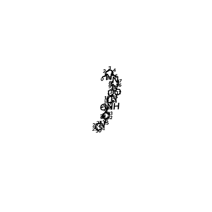 Cc1cccc(CN2CCN(C(=O)Oc3ccc(NC(=O)c4ccc(CN5CCCCC5)cc4)cn3)CC2)n1